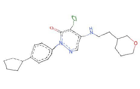 O=c1c(Cl)c(NCCC2CCCOC2)cnn1-c1ccc(C2CCCC2)cc1